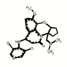 COc1ccc2c(Nc3c(Cl)cncc3Cl)cc(=O)n3c2c1OC1CCCC13CN(C)C